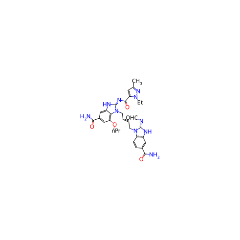 CCCOc1cc(C(N)=O)cc2[nH]/c(=N/C(=O)c3cc(C)nn3CC)n(C/C=C/Cn3/c(=N\C=O)[nH]c4cc(C(N)=O)ccc43)c12